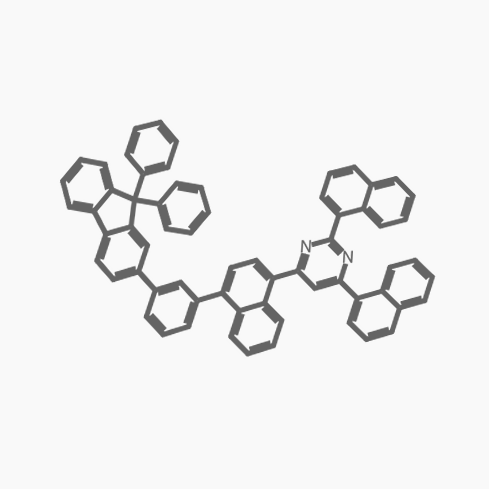 c1ccc(C2(c3ccccc3)c3ccccc3-c3ccc(-c4cccc(-c5ccc(-c6cc(-c7cccc8ccccc78)nc(-c7cccc8ccccc78)n6)c6ccccc56)c4)cc32)cc1